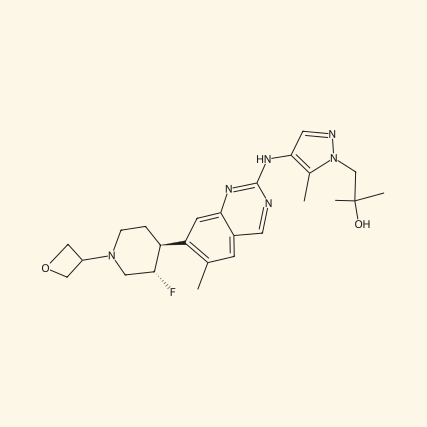 Cc1cc2cnc(Nc3cnn(CC(C)(C)O)c3C)nc2cc1[C@@H]1CCN(C2COC2)C[C@H]1F